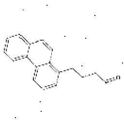 O=[C]CCCc1cccc2c1ccc1ccccc12